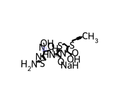 CC#CCSC1=C(C(=O)O)N2C(=O)[C@@H](NC(=O)/C(=N\O)c3csc(N)n3)[C@H]2SC1.[NaH]